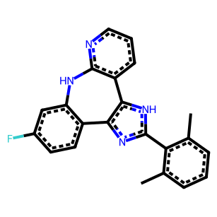 Cc1cccc(C)c1-c1nc2c([nH]1)-c1cccnc1Nc1cc(F)ccc1-2